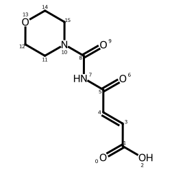 O=C(O)C=CC(=O)NC(=O)N1CCOCC1